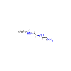 CCCCCCNCCNCCN